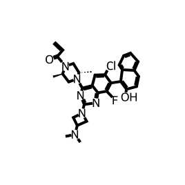 C=CC(=O)N1C[C@H](C)N(c2nc(N3CC(N(C)C)C3)nc3c(F)c(-c4c(O)ccc5ccccc45)c(Cl)cc23)C[C@H]1C